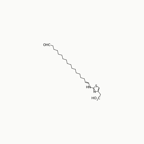 O=CCCCCCCCCCCCCCCC/C=C/Nc1nc(CC(=O)O)cs1